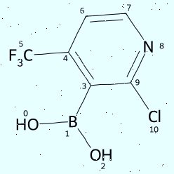 OB(O)c1c(C(F)(F)F)ccnc1Cl